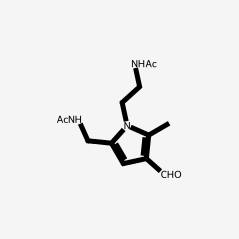 CC(=O)NCCn1c(CNC(C)=O)cc(C=O)c1C